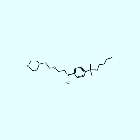 CCCCCC(C)(C)c1ccc(OCCOCCN2CCOCC2)cc1.Cl